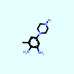 CC(=O)N1CCN(c2cc(C)c(N)c(N)c2)CC1